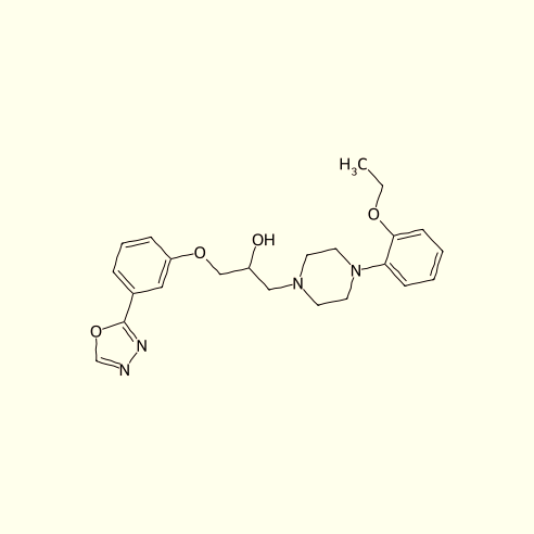 CCOc1ccccc1N1CCN(CC(O)COc2cccc(-c3nnco3)c2)CC1